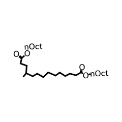 CCCCCCCCOC(=O)CCCCCCCCCC(C)CCC(=O)OCCCCCCCC